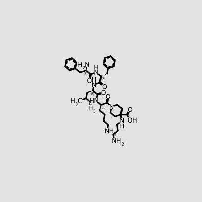 CC(C)C[C@@H](NC(=O)[C@@H](Cc1ccccc1)NC(=O)[C@H](N)Cc1ccccc1)C(=O)N[C@H](CCCCN)C(=O)N1CCC(NCCCN)(C(=O)O)CC1